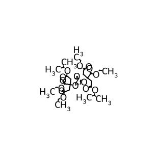 CCOC(=O)CC(CC(=O)OC(C)C)([O][Zr](=[O])[O]C(CC(=O)OCC)(CC(=O)OC(C)C)C(=O)OCC)C(=O)OCC